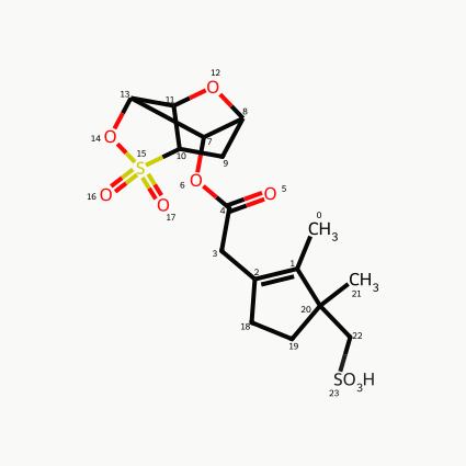 CC1=C(CC(=O)OC2C3CC4C(O3)C2OS4(=O)=O)CCC1(C)CS(=O)(=O)O